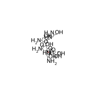 NCC(O)CN[C@@H]1C[C@H](N)C(O[C@H]2O[C@H](CNCC(N)CO)[C@@H](O)C[C@H]2N)[C@H](O)[C@H]1O[C@H]1O[C@H](CO)[C@@H](O)C[C@H]1O